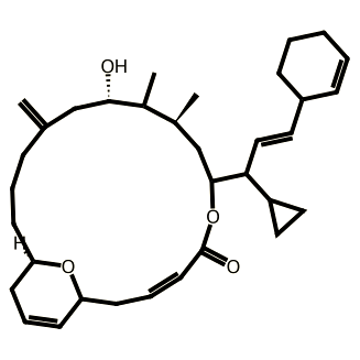 C=C1CCC[C@@H]2CC=CC(C/C=C\C(=O)OC(C(/C=C/C3C=CCCC3)C3CC3)C[C@H](C)C(C)[C@@H](O)C1)O2